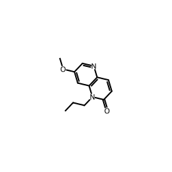 CCCn1c(=O)ccc2ncc(OC)cc21